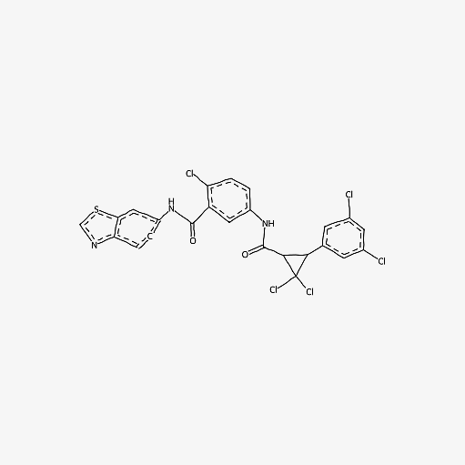 O=C(Nc1ccc2ncsc2c1)c1cc(NC(=O)C2C(c3cc(Cl)cc(Cl)c3)C2(Cl)Cl)ccc1Cl